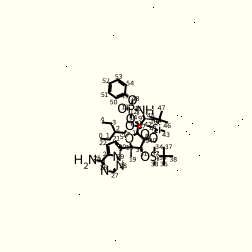 CCC(CC)COC(=O)[C@H](C)NP(=O)(OCC1O[C@@](C)(c2ccc3c(N)ncnn23)C(O[Si](C)(C)C(C)(C)C)C1O[Si](C)(C)C(C)(C)C)Oc1ccccc1